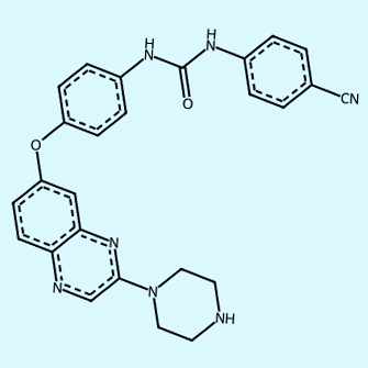 N#Cc1ccc(NC(=O)Nc2ccc(Oc3ccc4ncc(N5CCNCC5)nc4c3)cc2)cc1